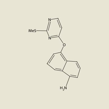 CSc1nccc(Oc2cccc3c(N)cccc23)n1